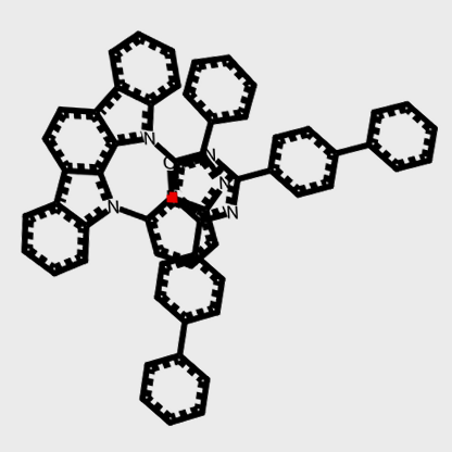 c1ccc(-c2ccc(-c3nc(-c4ccc(-c5ccccc5)cc4)nc(-n4c5ccccc5c5ccc6c7ccccc7n(-c7cccc8nc(-c9ccccc9)oc78)c6c54)n3)cc2)cc1